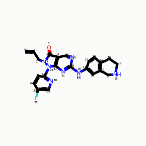 C=CCn1c(=O)c2cnc(Nc3ccc4c(c3)CNCC4)nc2n1-c1ccc(F)cn1